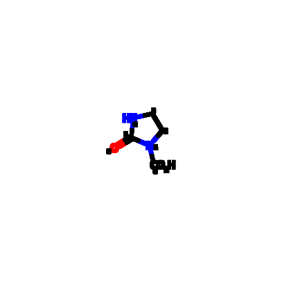 O=C(O)N1CCNC1=O